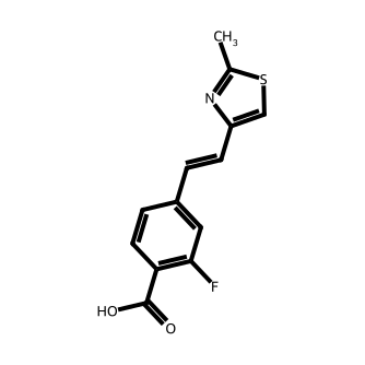 Cc1nc(C=Cc2ccc(C(=O)O)c(F)c2)cs1